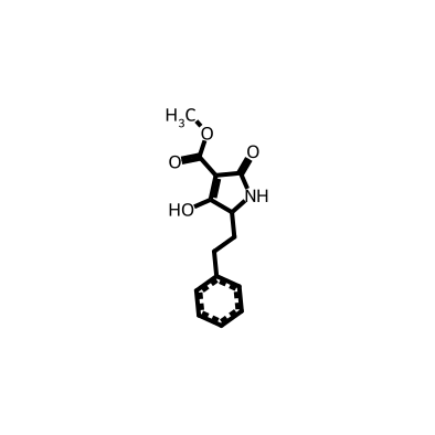 COC(=O)C1=C(O)C(CCc2ccccc2)NC1=O